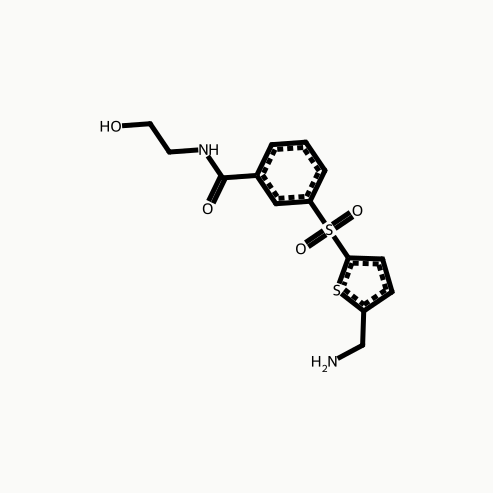 NCc1ccc(S(=O)(=O)c2cccc(C(=O)NCCO)c2)s1